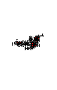 CC(C)CCC[C@@H](C)[C@H]1CC[C@H]2[C@@H]3CC=C4C[C@@H](OC(=O)NC(Cc5ccc(O)cc5)C(=O)N[C@H](CCCCNC(=O)CCC(=O)C5OC(n6cc(F)c(=O)[nH]c6=O)CC5O)C(=O)NC(Cc5ccc(O)cc5)C(=O)O)CC[C@]4(C)[C@H]3CC[C@]12C